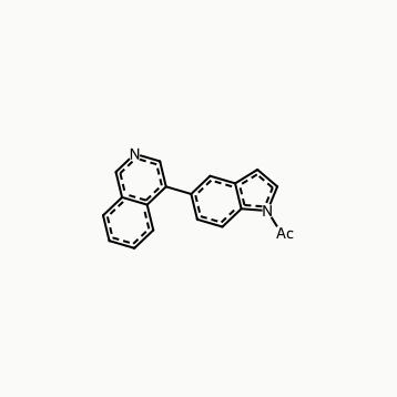 CC(=O)n1ccc2cc(-c3cncc4ccccc34)ccc21